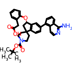 CC(C)(C)OC(=O)N1CCC2(CC1)C[C@H](Oc1ccccc1CC(=O)O)c1cc(-c3cccc4c(N)nccc34)ccc12